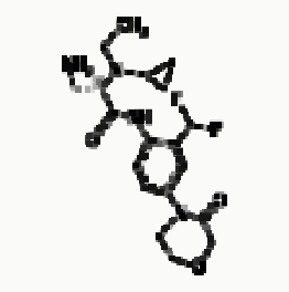 CCN(C1CC1)[C@@H](CN)C(=O)Nc1ccc(N2CCOCC2=O)cc1C(F)F